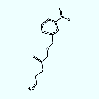 C=CCOC(=O)COCc1cccc([N+](=O)[O-])c1